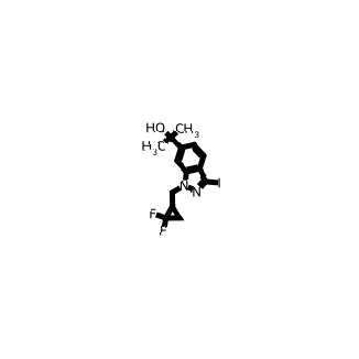 CC(C)(O)c1ccc2c(I)nn(CC3CC3(F)F)c2c1